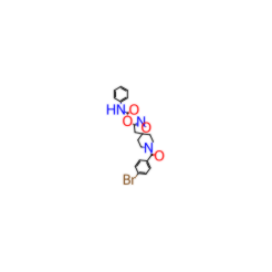 O=C(Nc1ccccc1)OC1=NOC2(CCN(C(=O)c3ccc(Br)cc3)CC2)C1